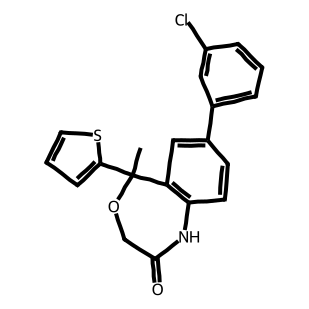 CC1(c2cccs2)OCC(=O)Nc2ccc(-c3cccc(Cl)c3)cc21